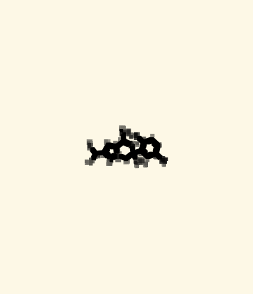 CC1(c2cc(Br)ccc2F)Cn2nc(C(F)F)cc2C(N)=N1